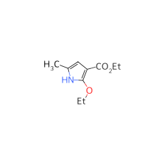 CCOC(=O)c1cc(C)[nH]c1OCC